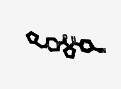 N#Cc1ccc(NC2(C(=O)N3CCN(CC4CCCC4)CC3)CCCC2)cc1